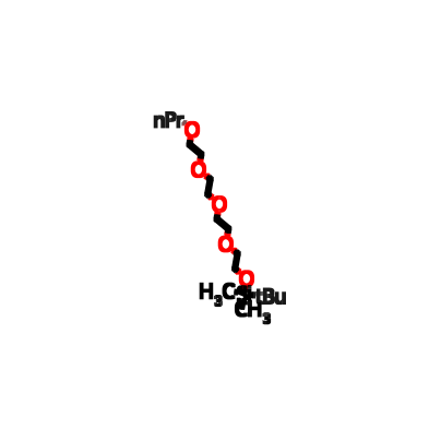 CCCOCCOCCOCCOCCO[Si](C)(C)C(C)(C)C